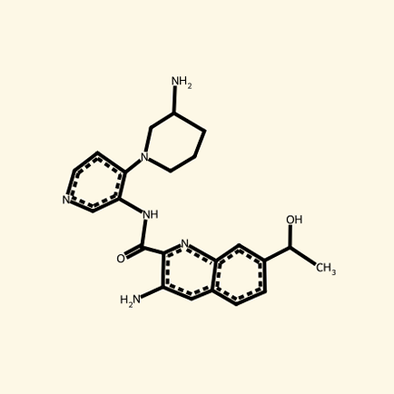 CC(O)c1ccc2cc(N)c(C(=O)Nc3cnccc3N3CCCC(N)C3)nc2c1